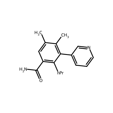 CCCc1c(C(N)=O)cc(C)c(C)c1-c1cccnc1